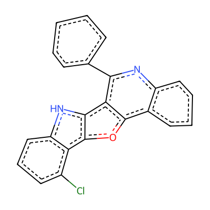 Clc1cccc2[nH]c3c(oc4c5ccccc5nc(-c5ccccc5)c34)c12